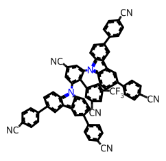 N#Cc1ccc(-c2ccc3c(c2)c2cc(-c4ccc(C#N)cc4)ccc2n3-c2cc(C#N)cc(-n3c4ccc(-c5ccc(C#N)cc5)cc4c4cc(-c5ccc(C#N)cc5)ccc43)c2-c2cc(C#N)cc(C(F)(F)F)c2)cc1